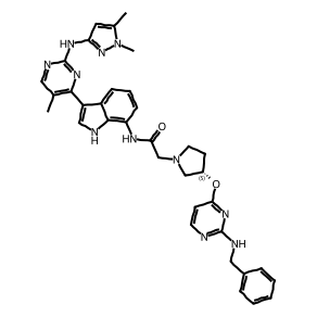 Cc1cnc(Nc2cc(C)n(C)n2)nc1-c1c[nH]c2c(NC(=O)CN3CC[C@H](Oc4ccnc(NCc5ccccc5)n4)C3)cccc12